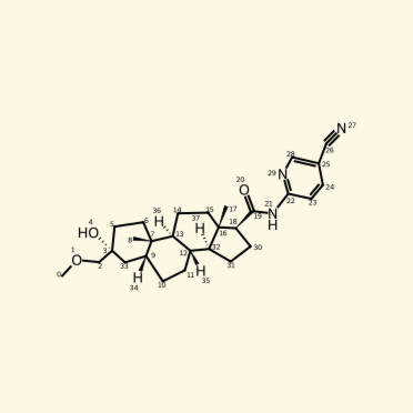 COC[C@@]1(O)CC[C@@]2(C)[C@H](CC[C@@H]3[C@@H]2CC[C@]2(C)[C@@H](C(=O)Nc4ccc(C#N)cn4)CC[C@@H]32)C1